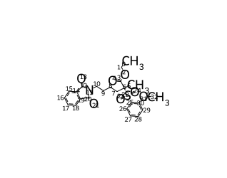 CCOC(=O)C(C)(CCCCN1C(=O)c2ccccc2C1=O)S(=O)(=O)c1ccccc1OC